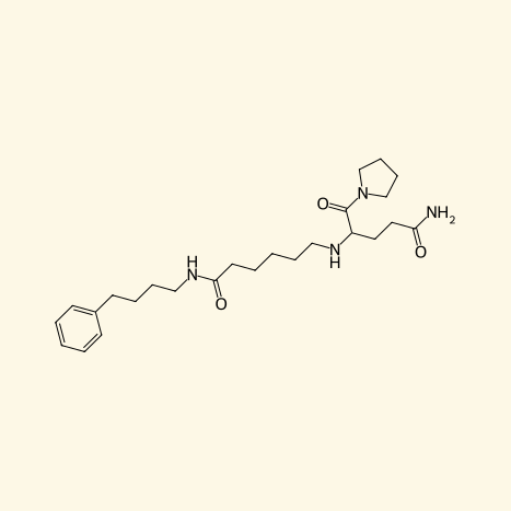 NC(=O)CCC(NCCCCCC(=O)NCCCCc1ccccc1)C(=O)N1CCCC1